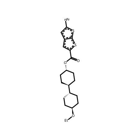 CCCc1cc2cc(C(=O)O[C@H]3CC[C@H]([C@H]4CC[C@H](OCC)CC4)CC3)sc2s1